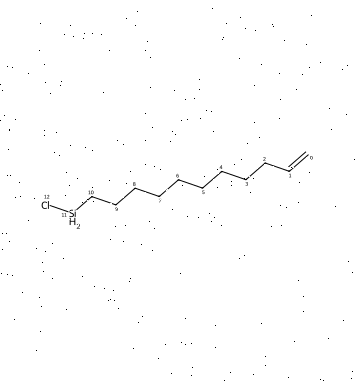 C=CCCCCCCCCC[SiH2]Cl